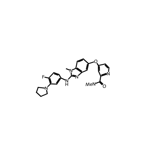 CNC(=O)c1cc(Oc2ccc3c(c2)nc(Nc2ccc(F)c(N4CCCC4)c2)n3C)ccn1